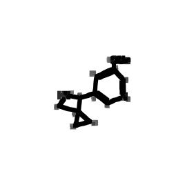 COc1cncc(C2NCC23CC3)c1